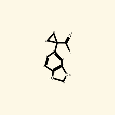 O=C(I)C1(c2ccc3c(c2)OCO3)CC1